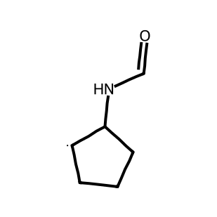 O=CNC1[CH]CCC1